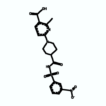 Cc1nc(N2CCC(C(=O)NS(=O)(=O)c3cccc([N+](=O)[O-])c3)CC2)ccc1C(=O)O